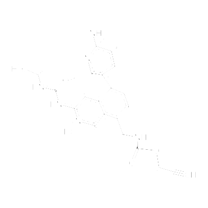 C#CCOC(=O)NCc1ccc(-c2ccc(N)nc2)c2cc(NC(=O)NCC)ncc12.Cl